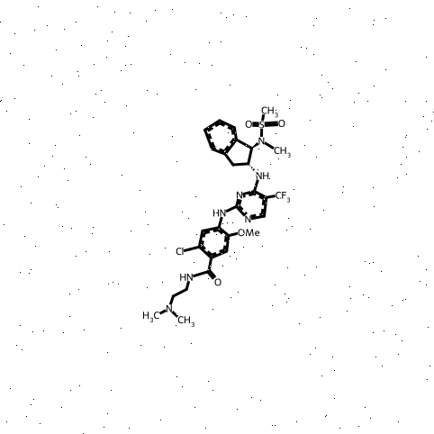 COc1cc(C(=O)NCCN(C)C)c(Cl)cc1Nc1ncc(C(F)(F)F)c(N[C@@H]2Cc3ccccc3[C@H]2N(C)S(C)(=O)=O)n1